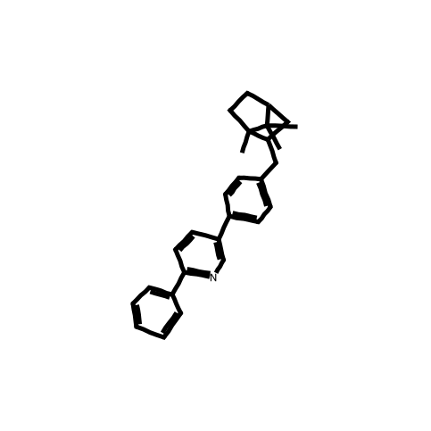 CC1(C)C2CCC1(C)C(Cc1ccc(-c3ccc(-c4ccccc4)nc3)cc1)C2